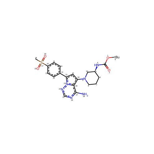 CC(C)(C)OC(=O)N[C@H]1CCCN(c2cc(-c3ccc(S(C)(=O)=O)cc3)n3ncnc(N)c23)C1